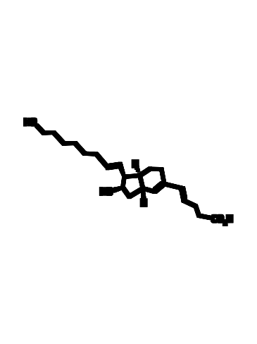 O=C(O)CCC=CC1=C[C@@H]2C[C@@H](O)[C@@H](C=CCCCCCCO)[C@H]2CC1